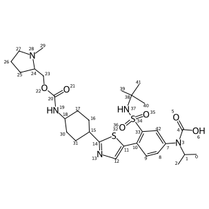 CC(C)N(C(=O)O)c1ccc(-c2cnc(C3CCC(NC(=O)OCC4CCCN4C)CC3)s2)c(S(=O)(=O)NC(C)(C)C)c1